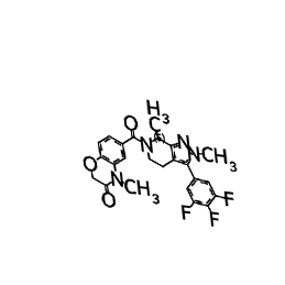 C[C@H]1c2nn(C)c(-c3cc(F)c(F)c(F)c3)c2CCN1C(=O)c1ccc2c(c1)N(C)C(=O)CO2